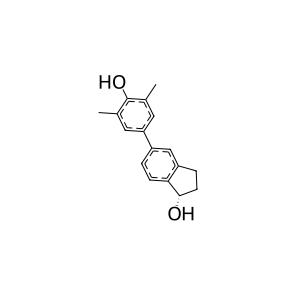 Cc1cc(-c2ccc3c(c2)CC[C@@H]3O)cc(C)c1O